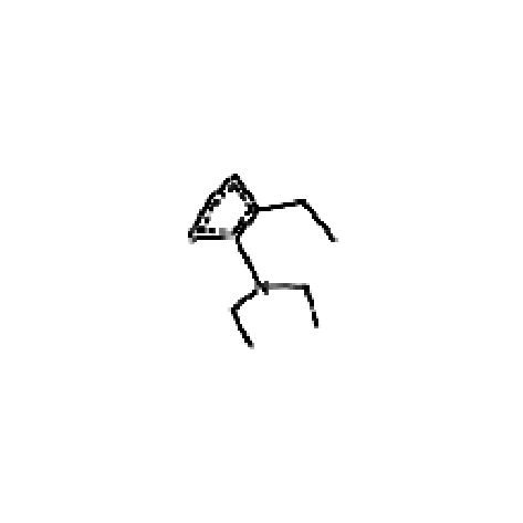 CCc1ccsc1N(CC)CC